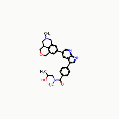 CC(O)CN(C)C(=O)c1ccc(-c2c[nH]c3ncc(-c4cc5c6c(c4)CN(C)CC6COC5)cc23)cc1